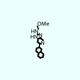 COCCNc1nc2cnc(-c3ccc4ccccc4c3)cc2[nH]1